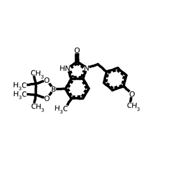 COc1ccc(Cn2c(=O)[nH]c3c(B4OC(C)(C)C(C)(C)O4)c(C)ccc32)cc1